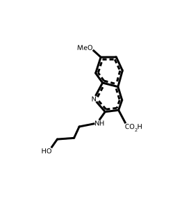 COc1ccc2cc(C(=O)O)c(NCCCO)nc2c1